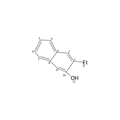 CCc1cc2ccccc2[c]c1O